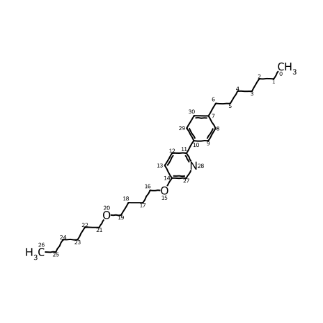 CCCCCCCc1ccc(-c2ccc(OCCCCOCCCCCC)cn2)cc1